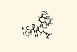 N#Cc1ccc(N2CC(NC(=O)[C@@H](N)C(F)(F)F)CC(C3CC3)C2)c2nccnc12